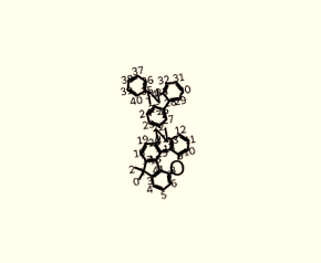 CC1(C)c2cccc3oc4cccc5c4c4c(c1ccc4n5-c1ccc4c(c1)c1ccccc1n4-c1ccccc1)c23